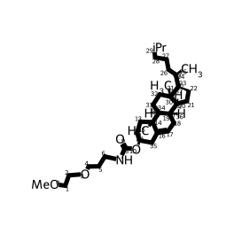 COCCOCCCNC(=O)O[C@H]1CC[C@@]2(C)C(=CC[C@H]3[C@@H]4CC[C@H]([C@H](C)CCCC(C)C)[C@@]4(C)CC[C@@H]32)C1